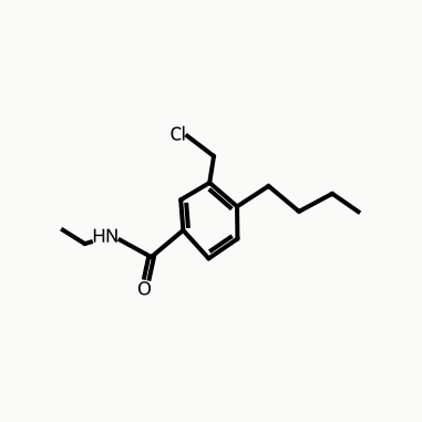 CCCCc1ccc(C(=O)NCC)cc1CCl